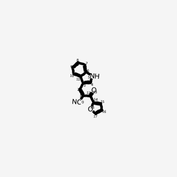 N#CC(=Cc1c[nH]c2ccccc12)C(=O)c1ccco1